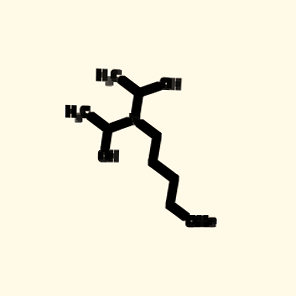 COCCCCN(C(C)O)C(C)O